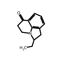 CCC1Cc2cccc3c2N1CCC3=O